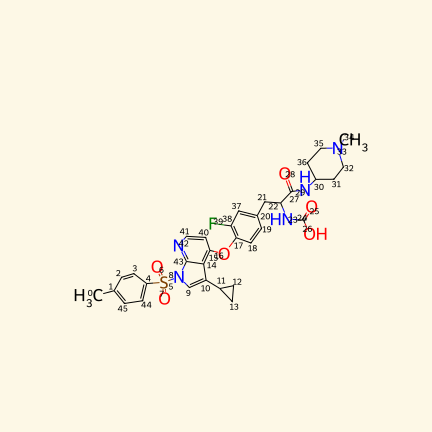 Cc1ccc(S(=O)(=O)n2cc(C3CC3)c3c(Oc4ccc(CC(NC(=O)O)C(=O)NC5CCN(C)CC5)cc4F)ccnc32)cc1